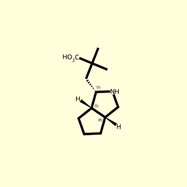 CC(C)(C[C@@H]1NC[C@@H]2CCC[C@@H]21)C(=O)O